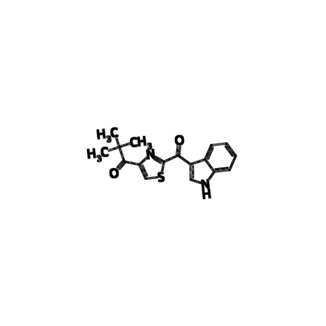 CC(C)(C)C(=O)c1csc(C(=O)c2c[nH]c3ccccc23)n1